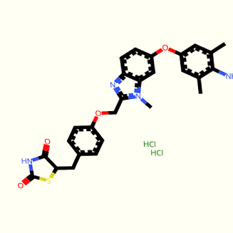 Cc1cc(Oc2ccc3nc(COc4ccc(CC5SC(=O)NC5=O)cc4)n(C)c3c2)cc(C)c1N.Cl.Cl